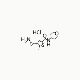 Cc1sc(C(=O)NC2CCOCC2)cc1C1CC1N.Cl